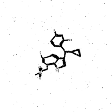 CS(=O)(=O)Cc1cc(F)cc2c(C(c3ccc(F)cc3Cl)C3CC3)c[nH]c12